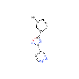 N#Cc1cccc(-c2nc(-c3ccnnc3)no2)c1